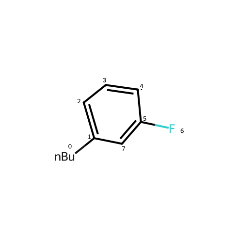 CCCCc1cc[c]c(F)c1